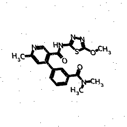 COc1nnc(NC(=O)c2cnc(C)cc2-c2cccc(C(=O)N(C)C)c2)s1